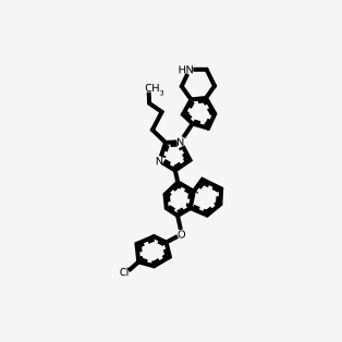 CCCCc1nc(-c2ccc(Oc3ccc(Cl)cc3)c3ccccc23)cn1-c1ccc2c(c1)CNCC2